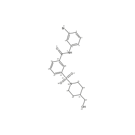 O=C(Nc1cccc(Br)c1)c1cccc(S(=O)(=O)N2CCC(CO)CC2)c1